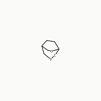 C1CC2CSCC1CO2